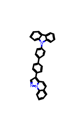 c1ccc2c(c1)ccc1c(-c3ccc(-c4ccc(-n5c6ccccc6c6ccccc65)cc4)cc3)cnn12